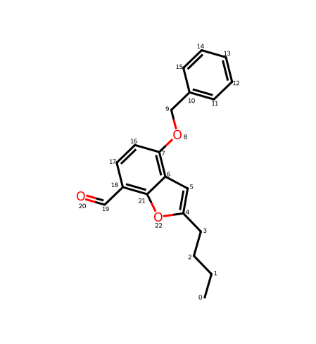 CCCCc1cc2c(OCc3ccccc3)ccc(C=O)c2o1